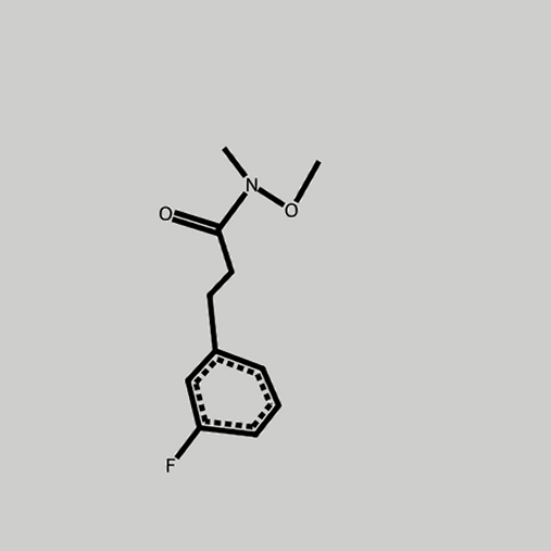 CON(C)C(=O)CCc1cccc(F)c1